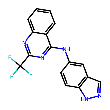 FC(F)(F)c1nc(Nc2ccc3[nH]ncc3c2)c2ccccc2n1